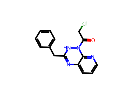 O=C(CCl)N1NC(Cc2ccccc2)=Nc2cccnc21